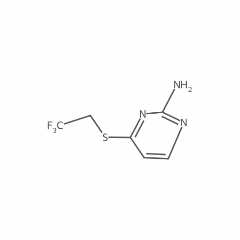 Nc1nccc(SCC(F)(F)F)n1